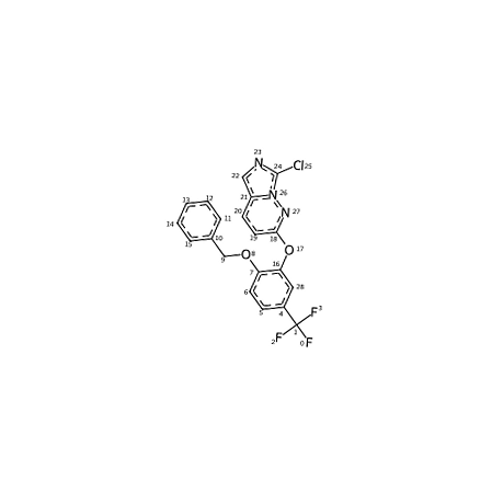 FC(F)(F)c1ccc(OCc2ccccc2)c(Oc2ccc3cnc(Cl)n3n2)c1